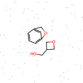 OCC1COC1.c1cc2cc(c1)OC2